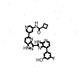 O=C(Nc1cncc(-c2ccc3[nH]nc(-c4nc5c(-c6cc(O)cc(F)c6)ccnc5[nH]4)c3n2)c1)C1CCC1